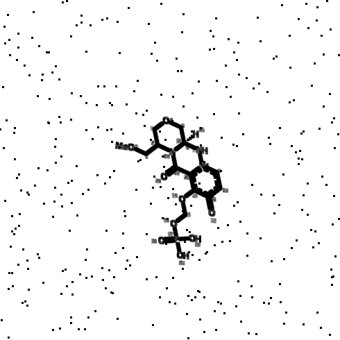 COCC1COC[C@H]2Nn3ccc(=O)c(OCOP(=O)(O)O)c3C(=O)N12